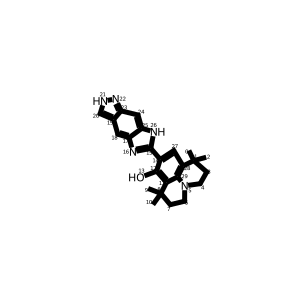 CC1(C)CCN2CCC(C)(C)c3c(O)c(-c4nc5cc6c[nH]nc6cc5[nH]4)cc1c32